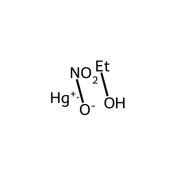 CCO.O=[N+]([O-])[O-].[Hg+]